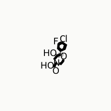 O=C(O)N1CCO[C@@H](c2ccc(Cl)c(F)c2)[C@H](O)C1